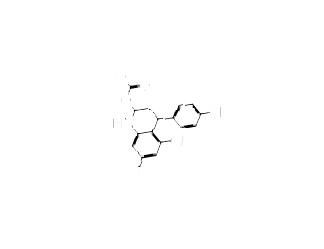 O=C(O)OC1CC(c2ccc(Cl)cc2)c2c(Cl)cc(Cl)cc2N1